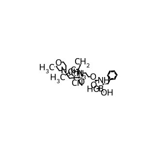 C=CC(C)N(CCOC(=O)N[C@@H](Cc1ccccc1)B(O)O)C(=O)C(C)(C#N)CC(C)(C)N1CCO[C@@H](C)C1